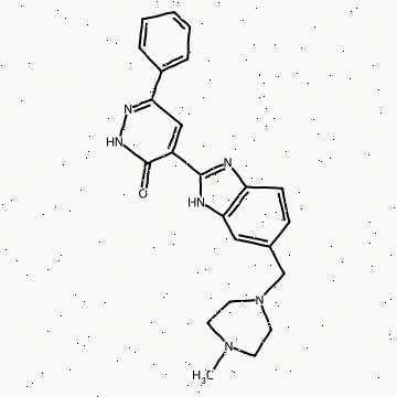 CN1CCN(Cc2ccc3nc(-c4cc(-c5ccccc5)n[nH]c4=O)[nH]c3c2)CC1